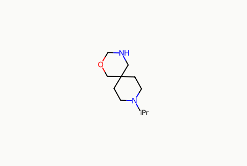 CC(C)N1CCC2(CC1)CNCOC2